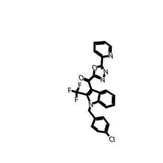 O=C(c1nnc(-c2ccccn2)o1)c1c(C(F)(F)F)n(Cc2ccc(Cl)cc2)c2ccccc12